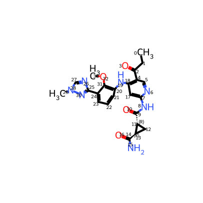 CCC(=O)c1cnc(NC(=O)[C@@H]2C[C@H]2C(N)=O)cc1Nc1cccc(-c2ncn(C)n2)c1OC